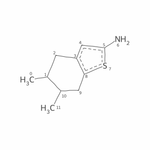 CC1Cc2cc(N)sc2CC1C